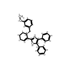 COc1cccc(C[C@@H]2CCCC=C2c2nc(-c3ccccc3)c(-c3ccccc3)o2)c1